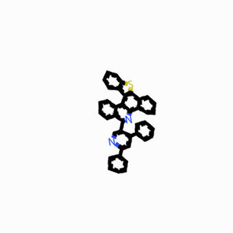 c1ccc(-c2cc(-c3ccccc3)c(-c3nc4c5ccccc5c5sc6ccccc6c5c4c4ccccc34)cn2)cc1